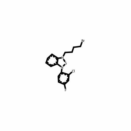 Fc1ccc(N2SN(CCCCBr)c3ccccc32)c(Cl)c1